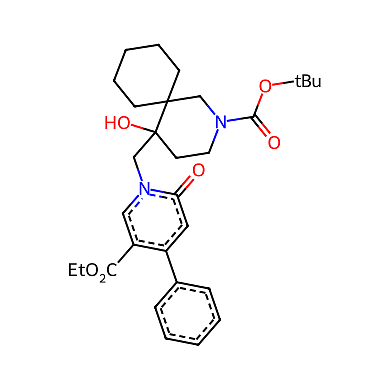 CCOC(=O)c1cn(CC2(O)CCN(C(=O)OC(C)(C)C)CC23CCCCC3)c(=O)cc1-c1ccccc1